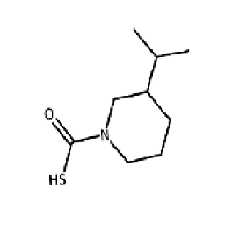 CC(C)C1CCCN(C(=O)S)C1